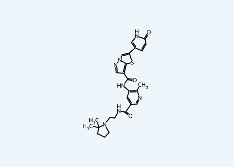 Cc1ncc(C(=O)NCCN2CCCC2(C)C)cc1NC(=O)c1cnn2cc(-c3ccc(=O)[nH]c3)sc12